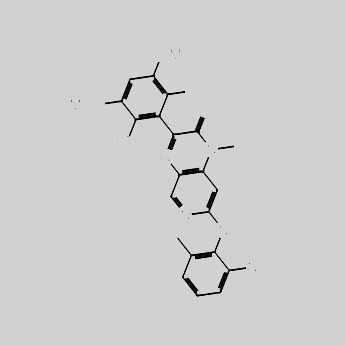 COc1cc(OC)c(Cl)c(-c2nc3cnc(Nc4c(C)cccc4N)cc3n(C)c2=O)c1Cl